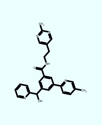 Cc1ccc(-c2cc(C(=O)NCCc3cnc(C)nc3)cc(C(O)c3ccccn3)c2)nc1